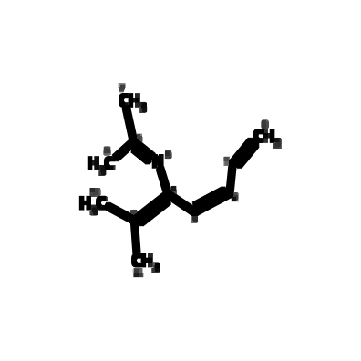 C=C/C=C\C(N=C(C)C)=C(C)C